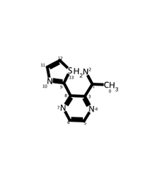 CC(N)c1nccnc1-c1nccs1